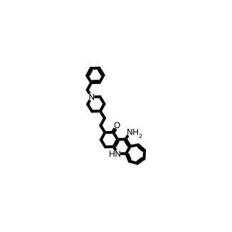 NC1=C2C=CC=CC=C2NC2=C1C(=O)C(CCC1CCN(Cc3ccccc3)CC1)CC2